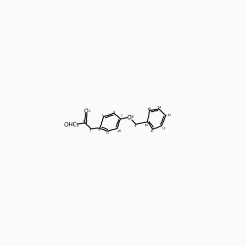 O=CC(=O)Cc1ccc(OCc2ccccc2)cc1